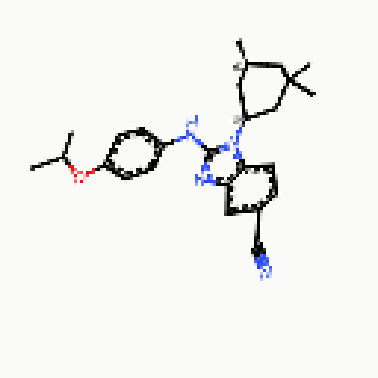 CC(C)Oc1ccc(Nc2nc3cc(C#N)ccc3n2[C@H]2C[C@@H](C)CC(C)(C)C2)cc1